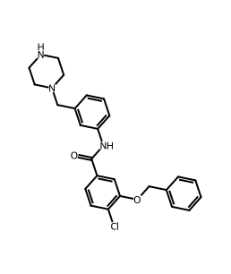 O=C(Nc1cccc(CN2CCNCC2)c1)c1ccc(Cl)c(OCc2ccccc2)c1